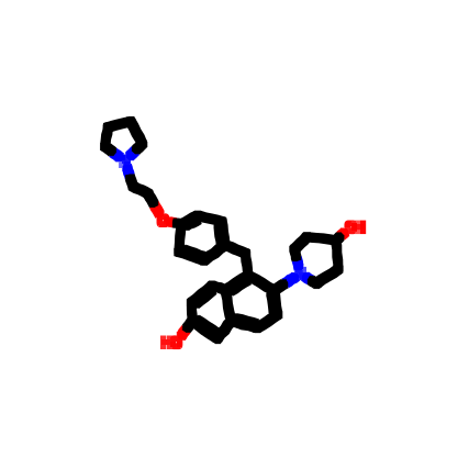 Oc1ccc2c(Cc3ccc(OCCN4CCCC4)cc3)c(N3CCC(O)CC3)ccc2c1